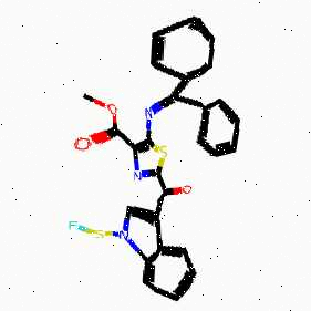 COC(=O)c1nc(C(=O)c2cn(SF)c3ccccc23)sc1N=C(c1ccccc1)c1ccccc1